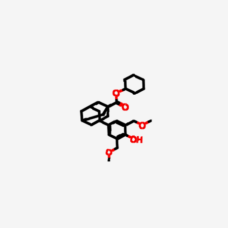 COCc1cc(C23CC4CC(CC(C(=O)OC5CCCCC5)(C4)C2)C3)cc(COC)c1O